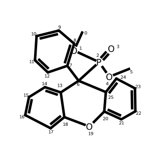 COP(=O)(OC)C1(c2ccccc2)c2ccccc2Oc2ccccc21